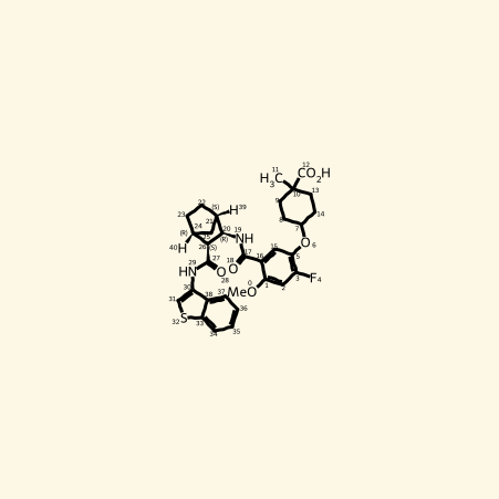 COc1cc(F)c(OC2CCC(C)(C(=O)O)CC2)cc1C(=O)N[C@@H]1[C@H]2CC[C@H](C2)[C@@H]1C(=O)Nc1csc2ccccc12